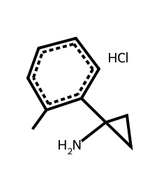 Cc1ccccc1C1(N)CC1.Cl